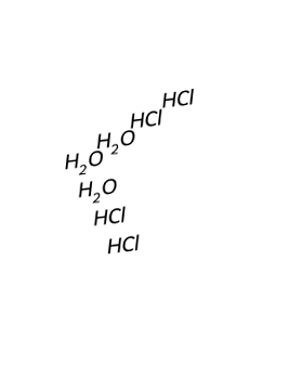 Cl.Cl.Cl.Cl.O.O.O